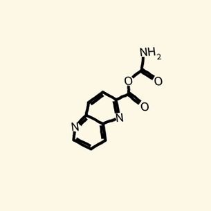 NC(=O)OC(=O)c1ccc2ncccc2n1